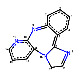 C1=NC2=c3ccccc3=Nc3ncccc3N2C1